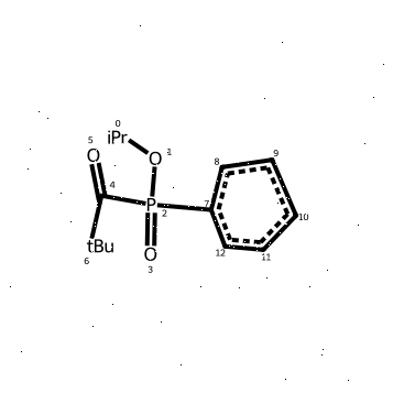 CC(C)OP(=O)(C(=O)C(C)(C)C)c1ccccc1